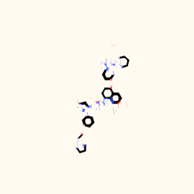 CC1CCCCN1c1nnc2ccc(O[C@@H]3CC[C@H](NC(=O)Nc4cc(C(C)(C)C)nn4-c4cccc(OCCN5CCCC5)c4)c4ccccc43)cn12.O=CO